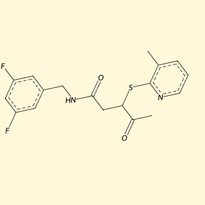 CC(=O)C(CC(=O)NCc1cc(F)cc(F)c1)Sc1ncccc1C